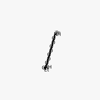 CCC(=O)NCCOCCOCCOCCOCCOCCOCCOCCNC(C)C